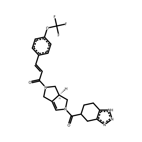 O=C(C1CCc2[nH]nnc2C1)N1C=C2CN(C(=O)C=Cc3ccc(OC(F)(F)F)cc3)C[C@H]2C1